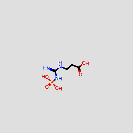 N=C(NCCC(=O)O)NP(=O)(O)O